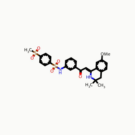 COc1ccc2c(c1)/C(=C/C(=O)c1cccc(NS(=O)(=O)c3ccc(S(C)(=O)=O)cc3)c1)NC(C)(C)C2